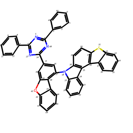 c1ccc(-c2nc(-c3ccccc3)nc(-c3cc(-n4c5ccccc5c5c6c(ccc54)sc4ccccc46)c4c(c3)oc3ccccc34)n2)cc1